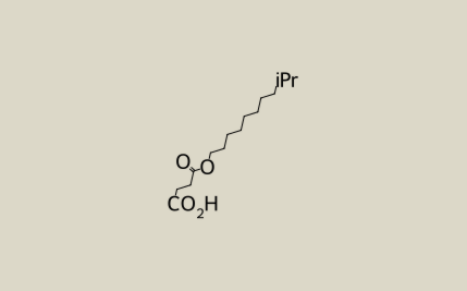 CC(C)CCCCCCCCOC(=O)CCC(=O)O